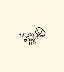 CS(=O)(=O)NS(=O)(=O)OC12CC3CC(CC(C3)C1)C2